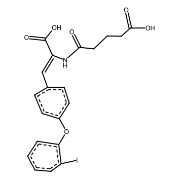 O=C(O)CCCC(=O)NC(=Cc1ccc(Oc2ccccc2I)cc1)C(=O)O